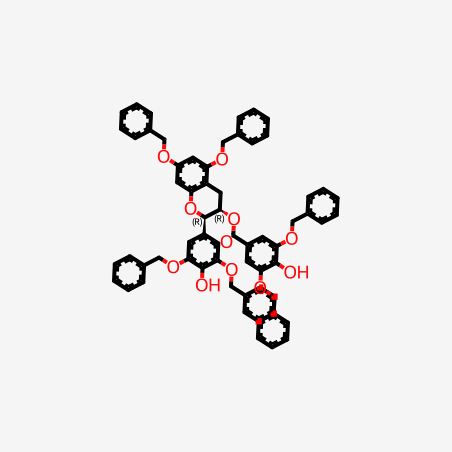 O=C(O[C@@H]1Cc2c(OCc3ccccc3)cc(OCc3ccccc3)cc2O[C@@H]1c1cc(OCc2ccccc2)c(O)c(OCc2ccccc2)c1)c1cc(OCc2ccccc2)c(O)c(OCc2ccccc2)c1